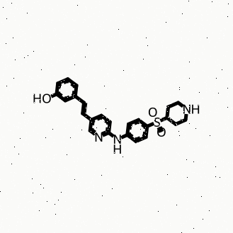 O=S(=O)(c1ccc(Nc2ccc(C=Cc3cccc(O)c3)cn2)cc1)C1CCNCC1